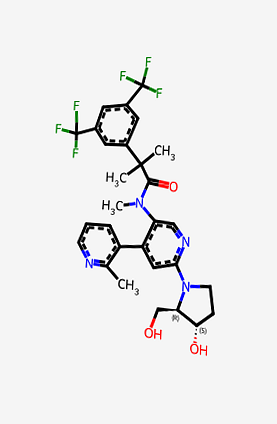 Cc1ncccc1-c1cc(N2CC[C@H](O)[C@H]2CO)ncc1N(C)C(=O)C(C)(C)c1cc(C(F)(F)F)cc(C(F)(F)F)c1